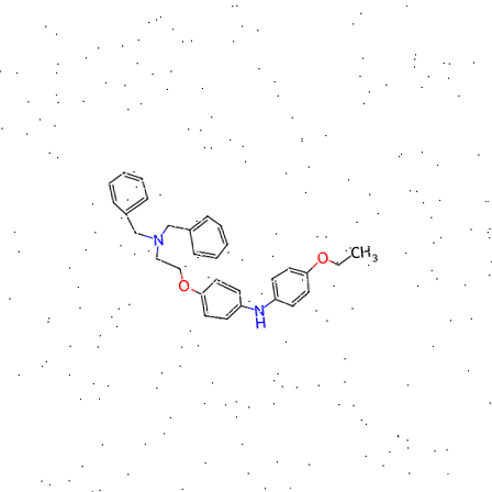 CCOc1ccc(Nc2ccc(OCCN(Cc3ccccc3)Cc3ccccc3)cc2)cc1